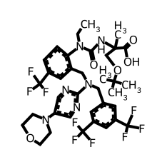 CCN(C(=O)NC(C)(COC(C)(C)C)C(=O)O)c1ccc(C(F)(F)F)cc1CN(Cc1cc(C(F)(F)F)cc(C(F)(F)F)c1)c1ncc(N2CCOCC2)cn1